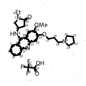 CCN1CC(Nc2c3ccccc3nc3cc(OCCCN4CCCC4)c(OC)cc23)CC1=O.O=C(O)C(F)(F)F